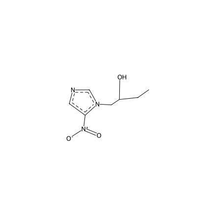 CCC(O)Cn1cncc1[N+](=O)[O-]